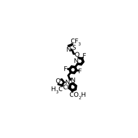 CC1(C)COC[C@H]1n1c(Cc2cc(F)c(-c3ccc(F)c(OCc4ncc(C(F)(F)F)s4)n3)cc2F)nc2ccc(C(=O)O)cc21